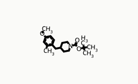 COc1ccc(CC2CCN(C(=O)OC(C)(C)C)CC2)c(C)c1